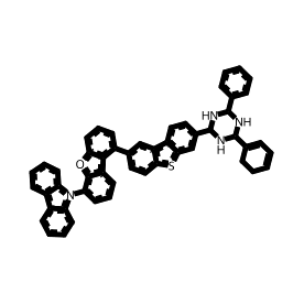 C1=CCCC(C2NC(c3ccccc3)NC(c3ccc4c(c3)sc3ccc(-c5cccc6oc7c(-n8c9ccccc9c9ccccc98)cccc7c56)cc34)N2)=C1